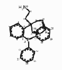 NCCC1(c2ccccc2P(c2ccccc2)c2ccccc2)C=CC=CC1